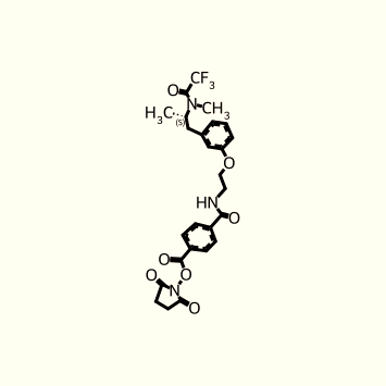 C[C@@H](Cc1cccc(OCCNC(=O)c2ccc(C(=O)ON3C(=O)CCC3=O)cc2)c1)N(C)C(=O)C(F)(F)F